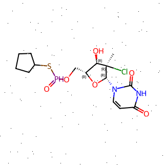 C[C@@]1(Cl)[C@H](O)[C@@H](CO[PH](=O)SC2CCCC2)O[C@H]1n1ccc(=O)[nH]c1=O